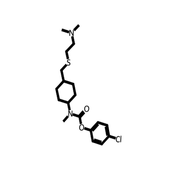 CN(C)CCSCC1CCC(N(C)C(=O)Oc2ccc(Cl)cc2)CC1